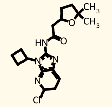 CC1(C)CCC(CC(=O)Nc2nc3c(n2C2CCC2)=NC(Cl)CC=3)O1